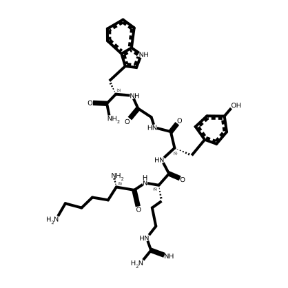 N=C(N)NCCC[C@H](NC(=O)[C@@H](N)CCCCN)C(=O)N[C@@H](Cc1ccc(O)cc1)C(=O)NCC(=O)N[C@@H](Cc1c[nH]c2ccccc12)C(N)=O